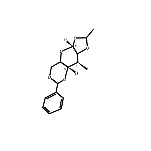 CC1OC2[C@@H](O1)OC1COC(c3ccccc3)O[C@H]1[C@@H]2C